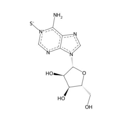 Nc1c2ncn([C@@H]3O[C@H](CO)[C@@H](O)[C@H]3O)c2nc[n+]1[S-]